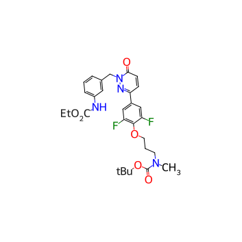 CCOC(=O)Nc1cccc(Cn2nc(-c3cc(F)c(OCCCN(C)C(=O)OC(C)(C)C)c(F)c3)ccc2=O)c1